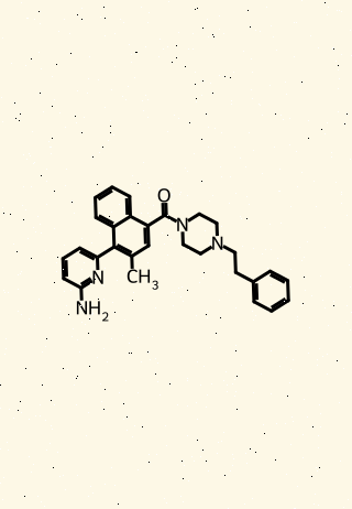 Cc1cc(C(=O)N2CCN(CCc3ccccc3)CC2)c2ccccc2c1-c1cccc(N)n1